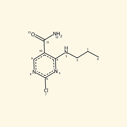 CCCNc1nc(Cl)ncc1C(N)=O